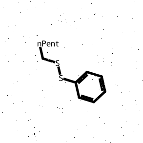 CCCCCCSSc1ccccc1